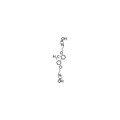 Cc1c(OCCCN2CC[C@@H](O)C2)cccc1-c1cccc(OCCCN2CC[C@@H](O)C2)c1